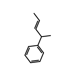 C/C=C/C(C)c1ccccc1